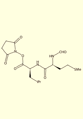 CSCC[C@H](NC=O)C(=O)N[C@@H](CC(C)C)C(=O)ON1C(=O)CCC1=O